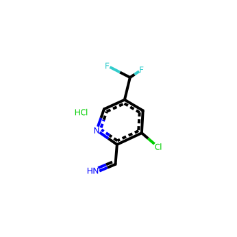 Cl.N=Cc1ncc(C(F)F)cc1Cl